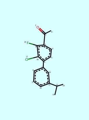 CC(=O)c1ccc(-c2cccc(C(C)C)c2)c(Cl)c1F